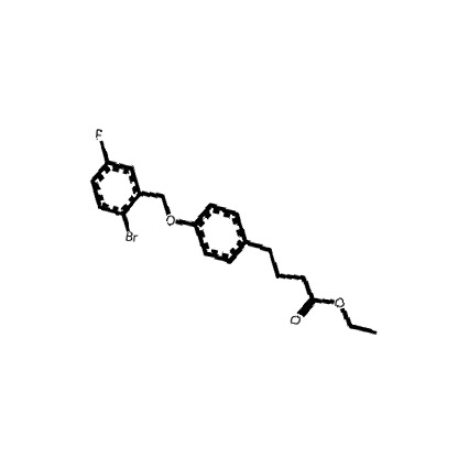 CCOC(=O)CCCc1ccc(OCc2cc(F)ccc2Br)cc1